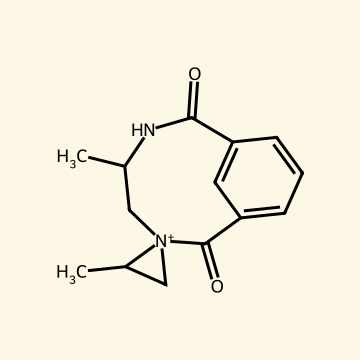 CC1C[N+]2(CC2C)C(=O)c2cccc(c2)C(=O)N1